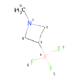 CN1CC([B-](F)(F)F)C1